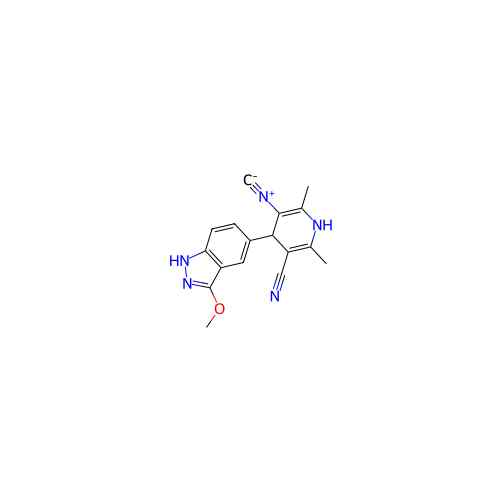 [C-]#[N+]C1=C(C)NC(C)=C(C#N)C1c1ccc2[nH]nc(OC)c2c1